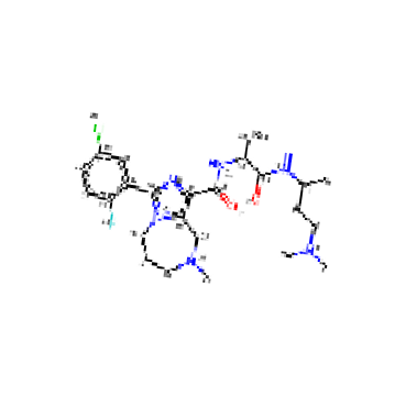 CC(CCN(C)C)NC(=O)[C@@H](NC(=O)c1nc(-c2cc(Cl)ccc2F)n2c1CN(C)CCC2)C(C)(C)C